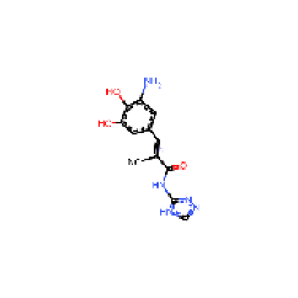 N#C/C(=C\c1cc(N)c(O)c(O)c1)C(=O)Nc1nnc[nH]1